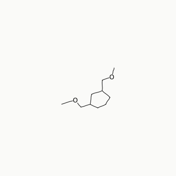 COCC1CCCC(COC)C1